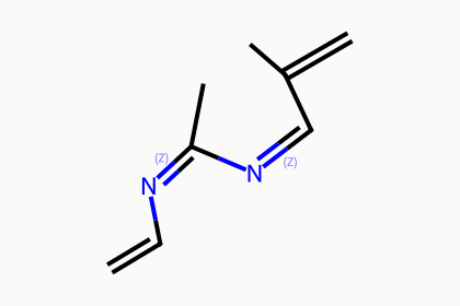 C=C/N=C(C)\N=C/C(=C)C